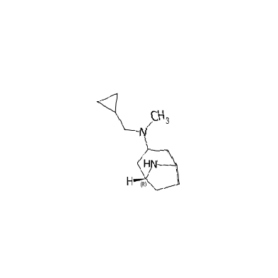 CN(CC1CC1)C1CC2CC[C@H](C1)N2